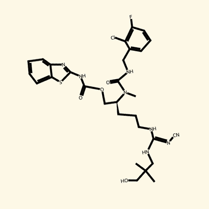 CN(C(=O)NCc1cccc(F)c1Cl)[C@@H](CCCN/C(=N\C#N)NCC(C)(C)CO)COC(=O)Nc1nc2ccccc2s1